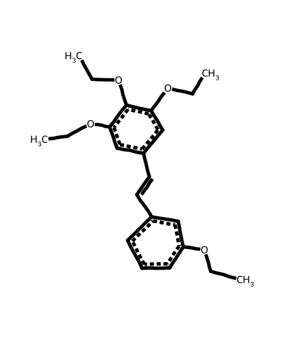 CCOc1cccc(/C=C/c2cc(OCC)c(OCC)c(OCC)c2)c1